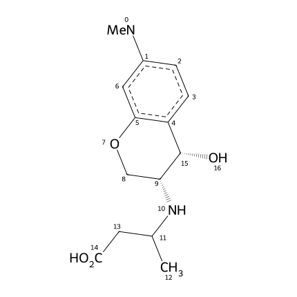 CNc1ccc2c(c1)OC[C@@H](NC(C)CC(=O)O)[C@H]2O